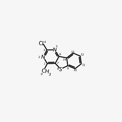 Cc1nc(Cl)nc2c1sc1ccccc12